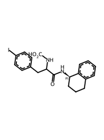 O=C(O)NC(Cc1ccc(I)cc1)C(=O)N[C@@H]1CCCc2ccccc21